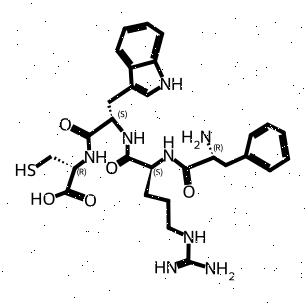 N=C(N)NCCC[C@H](NC(=O)[C@H](N)Cc1ccccc1)C(=O)N[C@@H](Cc1c[nH]c2ccccc12)C(=O)N[C@@H](CS)C(=O)O